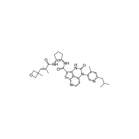 C/C(=C\C1(C)COC1)C(=O)N[C@H]1CCC[C@H]1NC(=O)c1sc2nccc3c2c1NC(=O)N3c1cnc(CC(C)C)cc1C